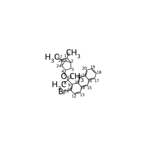 CC1C2CC(OC(C)(C)c3c(Br)ccc4cc5ccccc5cc34)C(C2)C1C